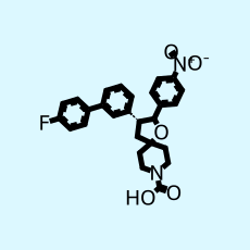 O=C(O)N1CCC2(CC1)C[C@H](c1cccc(-c3ccc(F)cc3)c1)C(c1ccc([N+](=O)[O-])cc1)O2